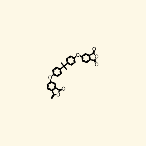 C=C1OC(=O)c2cc(Oc3ccc(C(C)(C)c4ccc(Oc5ccc6c(c5)C(=O)OC6=O)cc4)cc3)ccc21